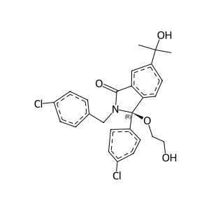 CC(C)(O)c1ccc2c(c1)C(=O)N(Cc1ccc(Cl)cc1)[C@@]2(OCCO)c1ccc(Cl)cc1